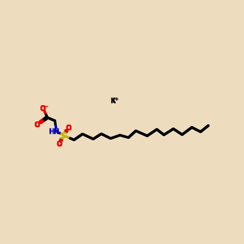 CCCCCCCCCCCCCCCCS(=O)(=O)NCC(=O)[O-].[K+]